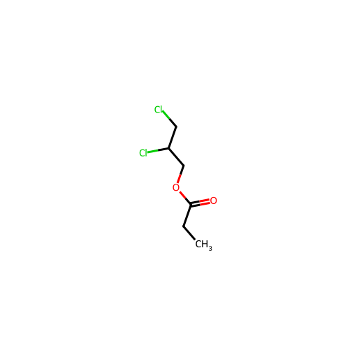 CCC(=O)OCC(Cl)CCl